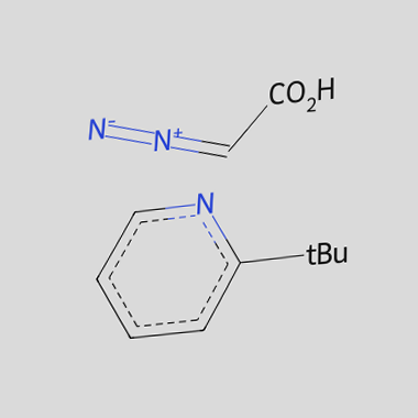 CC(C)(C)c1ccccn1.[N-]=[N+]=CC(=O)O